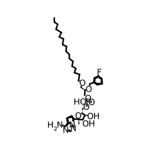 CCCCCCCCCCCCCCCCCCOC[C@H](COP(=O)(O)OC[C@H]1O[C@@](C)(c2ccc3c(N)ncnn23)[C@H](O)[C@@H]1O)OCc1cccc(F)c1